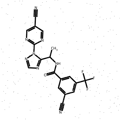 CC(NC(=O)c1cc(C#N)cc(C(F)(F)F)c1)c1ncnn1-c1ncc(C#N)cn1